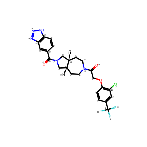 O=C(COc1ccc(C(F)(F)F)cc1Cl)N1CC[C@@H]2CN(C(=O)c3ccc4[nH]nnc4c3)C[C@@H]2CC1